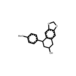 COc1ccc(C2CC(O)Cc3cc4c(cc32)OCO4)cc1